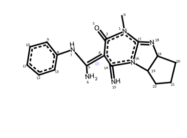 Cn1c(=O)/c(=C(/N)Nc2ccccc2)c(=N)n2c1=NC1CCCC12